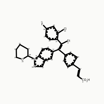 CC/C(=C(\c1ccc(C=CC(=O)O)cc1)c1ccc2c(cnn2C2CCCCO2)c1)c1ccc(F)cc1Cl